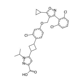 CC(C)n1nc(C(=O)O)cc1C1CC(c2ccc(OCc3c(-c4c(Cl)cccc4Cl)noc3C3CC3)cc2Cl)C1